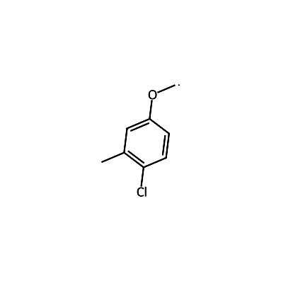 [CH2]Oc1ccc(Cl)c(C)c1